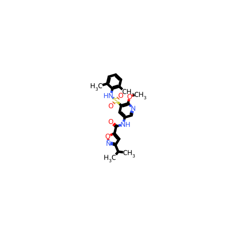 COc1ncc(NC(=O)c2cc(C(C)C)no2)cc1S(=O)(=O)Nc1c(C)cccc1C